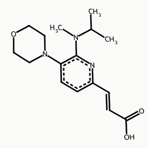 CC(C)N(C)c1nc(/C=C/C(=O)O)ccc1N1CCOCC1